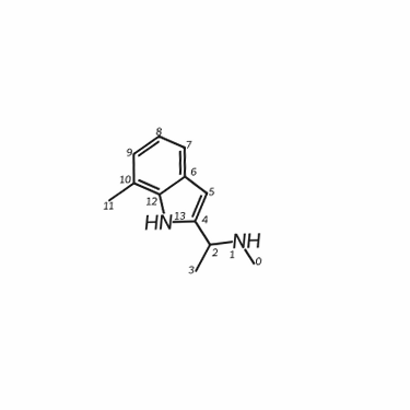 CNC(C)c1cc2cccc(C)c2[nH]1